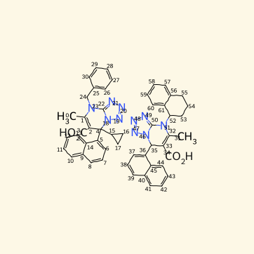 CC1=C(C(=O)O)C(c2cccc3ccccc23)(C2CC2)n2nnnc2N1Cc1ccccc1.CC1=C(C(=O)O)C(c2cccc3ccccc23)n2nnnc2N1C1CCCc2ccccc21